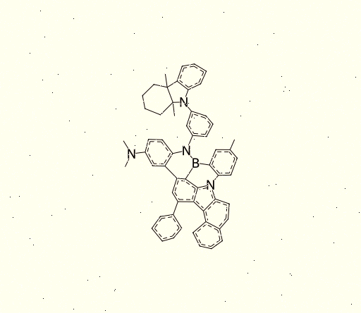 Cc1ccc2c(c1)B1c3c(cc(-c4ccccc4)c4c5c6ccccc6ccc5n-2c34)-c2cc(N(C)C)ccc2N1c1cccc(N2c3ccccc3C3(C)CCCCC23C)c1